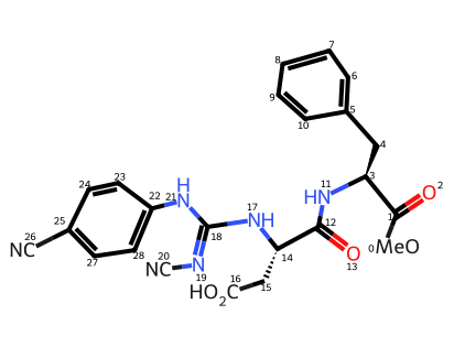 COC(=O)[C@H](Cc1ccccc1)NC(=O)[C@H](CC(=O)O)NC(=NC#N)Nc1ccc(C#N)cc1